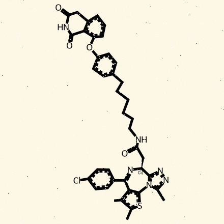 Cc1sc2c(c1C)C(c1ccc(Cl)cc1)=N[C@@H](CC(=O)NCCCCCCc1ccc(Oc3cccc4c3C(=O)NC(=O)C4)cc1)c1nnc(C)n1-2